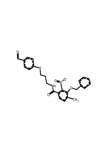 Cc1ccc(C(=O)NCCCOc2ccc(C=O)cc2)c([N+](=O)[O-])c1OCc1ccccc1